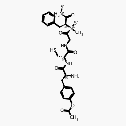 CC(=O)Oc1ccc(C[C@H](N)C(=O)N[C@H](CS)C(=O)NCC(=O)[N+](C)([S-])[C@@H](Cc2ccccc2)C(=O)[NH2+][S-])cc1